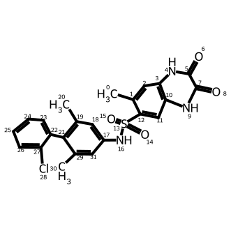 Cc1cc2[nH]c(=O)c(=O)[nH]c2cc1S(=O)(=O)Nc1cc(C)c(-c2ccccc2Cl)c(C)c1